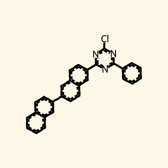 Clc1nc(-c2ccccc2)nc(-c2ccc3cc(-c4ccc5ccccc5c4)ccc3c2)n1